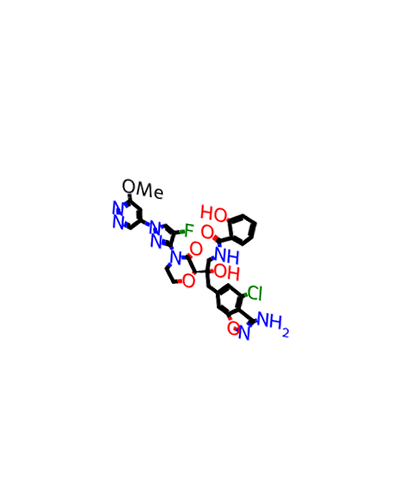 COc1cc(-n2cc(F)c(N3CCO[C@H](C(O)(CNC(=O)c4ccccc4O)Cc4cc(Cl)c5c(N)noc5c4)C3=O)n2)cnn1